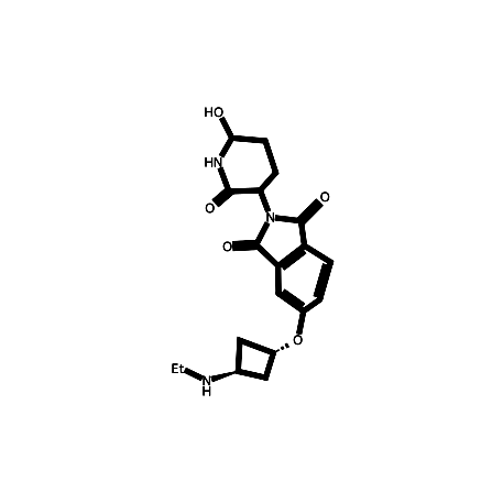 CCN[C@H]1C[C@H](Oc2ccc3c(c2)C(=O)N(C2CCC(O)NC2=O)C3=O)C1